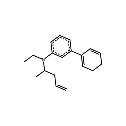 C=CCC(C)N(CC)c1cccc(C2=CCCC=C2)c1